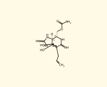 C=CCC1CC(O)(O)[C@]23NC(=N)N[C@H]2[C@H](COC(N)=O)NC(=N)N13